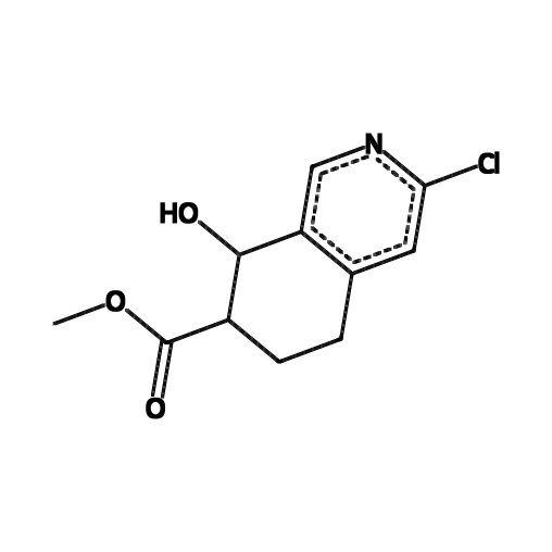 COC(=O)C1CCc2cc(Cl)ncc2C1O